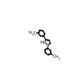 Cc1cccc(C2=CCN(c3cccc(C)c3)N2)c1